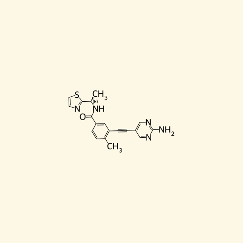 Cc1ccc(C(=O)N[C@H](C)c2nccs2)cc1C#Cc1cnc(N)nc1